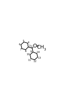 COC(C1CCCCC1)C1CCCCC1